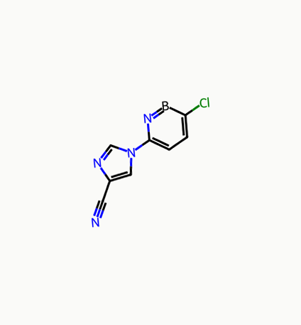 N#Cc1cn(-c2ccc(Cl)bn2)cn1